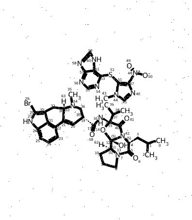 CC(C)C[C@H]1C(=O)N2CCC[C@H]2[C@]2(O)O[C@](NC(=O)[C@@H]3C=C4c5cccc6[nH]c(Br)c(c56)C[C@H]4N(C)C3)(C(C)C)C(=O)N12.Cn1cnc([N+](=O)[O-])c1Sc1ncnc2nc[nH]c12